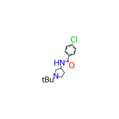 CC(C)(C)N1CC[C@H](NC(=O)c2ccc(Cl)cc2)C1